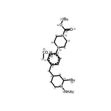 CC(=O)NN1CCC(Cc2ccc(N3CCN(C(=O)OC(C)(C)C)CC3)cc2)CC1C(C)(C)C.CC(=O)O